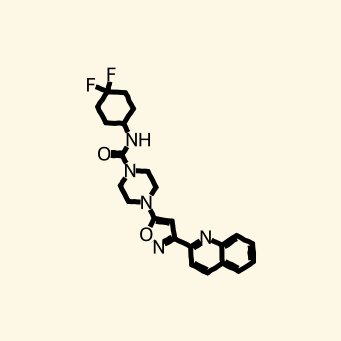 O=C(NC1CCC(F)(F)CC1)N1CCN(c2cc(-c3ccc4ccccc4n3)no2)CC1